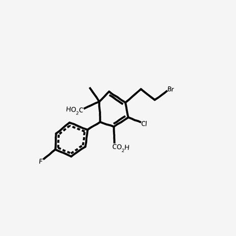 CC1(C(=O)O)C=C(CCBr)C(Cl)=C(C(=O)O)C1c1ccc(F)cc1